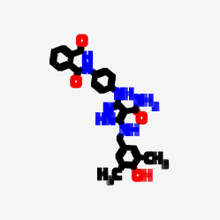 Cc1cc(CNc2[nH]nc(Nc3ccc(NC(=O)c4ccccc4C=O)cc3)c2C(N)=O)cc(C)c1O